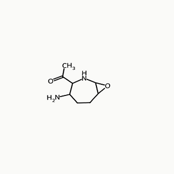 CC(=O)C1NC2OC2CCC1N